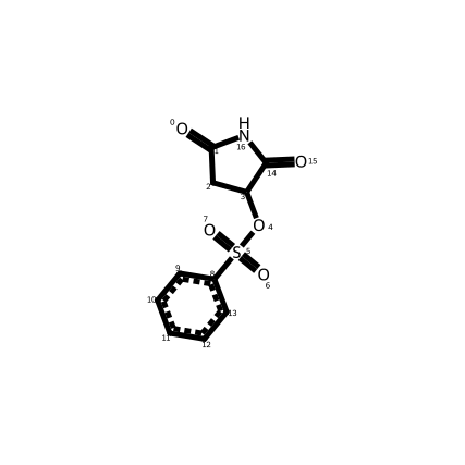 O=C1CC(OS(=O)(=O)c2ccccc2)C(=O)N1